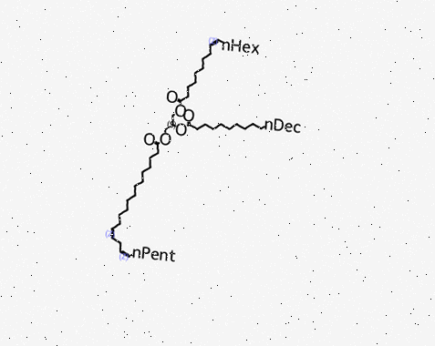 CCCCC/C=C\C/C=C\CCCCCCCCCCCC(=O)OC[C@@H](COC(=O)CCCCCCC/C=C\CCCCCC)OC(=O)CCCCCCCCCCCCCCCCCCC